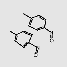 Cc1ccc(N=O)cc1.Cc1ccc(N=O)cc1